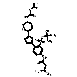 CC(C)CC(=O)Nc1ccc(-c2cnc([C@@H]3CC[C@@H](NC(=O)OC(C)C)CN3)s2)c(S(=O)(=O)NC(C)(C)C)c1